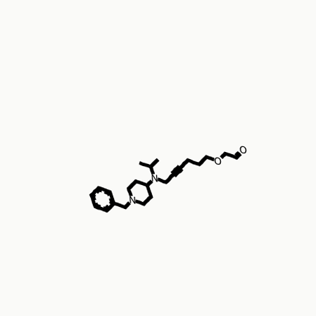 CC(C)N(CC#CCCCOCC=O)C1CCN(Cc2ccccc2)CC1